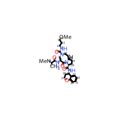 CN[C@@H](C)C(=O)N[C@H]1CN(C(=O)NCCCOC)CC[C@H]2CC[C@@H](C(=O)N[C@@H]3CCOc4ccccc43)N2C1=O